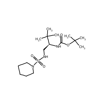 CC(C)(C)OC(=O)N[C@@H](CNS(=O)(=O)N1CCCCC1)C(C)(C)C